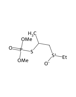 CC[S+]([O-])CC(C)SP(=O)(OC)OC